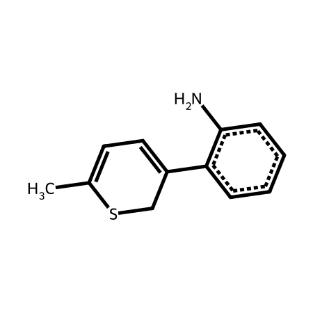 CC1=CC=C(c2ccccc2N)CS1